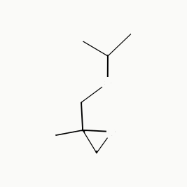 CC(C)OCC1(C)CO1